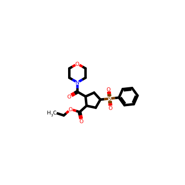 CCOC(=O)C1CC(S(=O)(=O)c2ccccc2)CC1C(=O)N1CCOCC1